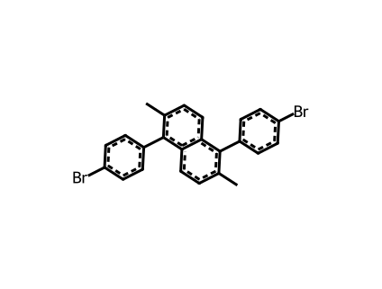 Cc1ccc2c(-c3ccc(Br)cc3)c(C)ccc2c1-c1ccc(Br)cc1